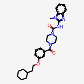 Cn1c(NC(=O)N2CCN(C(=O)c3cccc(OCCC4CCCCC4)c3)CC2)nc2ccccc21